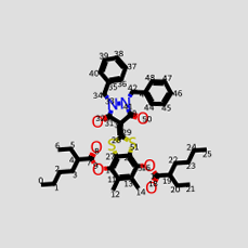 CCCCC(CC)C(=O)Oc1c(C)c(C)c(OC(=O)C(CC)CCCC)c2c1SC(=C1C(=O)N(Cc3ccccc3)N(Cc3ccccc3)C1=O)S2